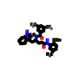 COc1ccc(C)cc1NC(=O)C=CC(Cc1c[nH]c2ccccc12)N(C)C(=O)c1cc(C(F)(F)F)cc(C(F)(F)F)c1